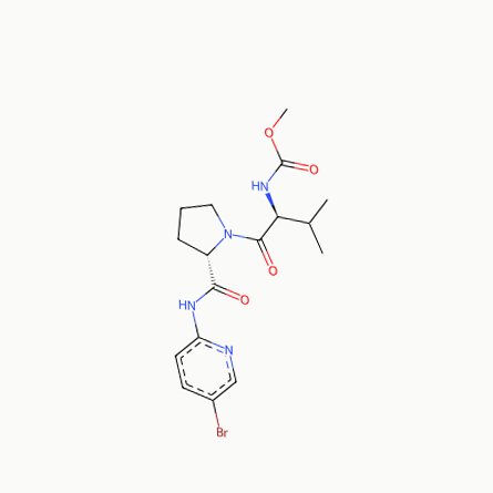 COC(=O)N[C@H](C(=O)N1CCC[C@H]1C(=O)Nc1ccc(Br)cn1)C(C)C